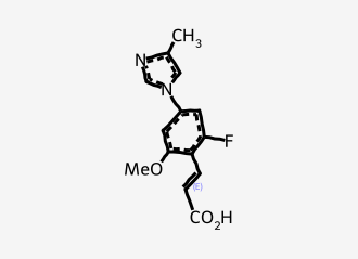 COc1cc(-n2cnc(C)c2)cc(F)c1/C=C/C(=O)O